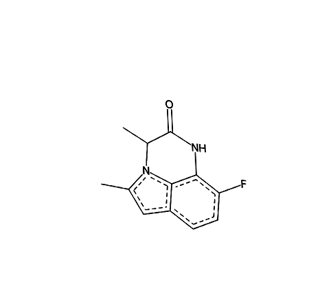 Cc1cc2ccc(F)c3c2n1C(C)C(=O)N3